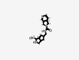 CC(C)(C)C1NCC2CC(CNC(=O)N3Cc4ccncc4C3)C=C21